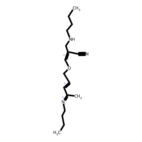 CCCC/N=C(C)/C=C/CO/C=C(\C#N)CNCCCC